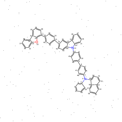 c1ccc(N(c2ccc(-c3ccc(-n4c5ccccc5c5cc(-c6ccc(-c7cccc8c7oc7ccccc78)cc6)ccc54)cc3)cc2)c2cccc3ccccc23)cc1